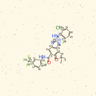 CC1(C)Cc2c(c(C(=O)Nc3cc(C(F)(F)F)ccc3F)cc3nc(Nc4c(F)cccc4Cl)[nH]c23)O1